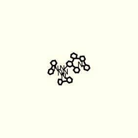 c1ccc2c(c1)c1ccc(-c3nc(-n4c5ccccc5c5ccccc54)nc(-n4c5ccccc5c5ccccc54)n3)cc1c1ccccc1n1c3ccccc3c3cccc2c31